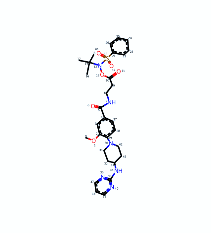 COc1cc(C(=O)NCCC(=O)ON(C(C)(C)C)S(=O)(=O)c2ccccc2)ccc1N1CCC(Nc2ncccn2)CC1